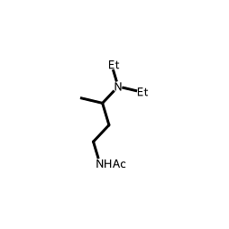 CCN(CC)C(C)CCNC(C)=O